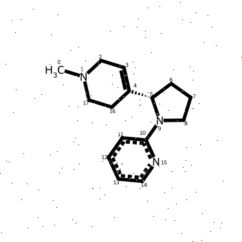 CN1CC=C([C@@H]2CCCN2c2ccccn2)CC1